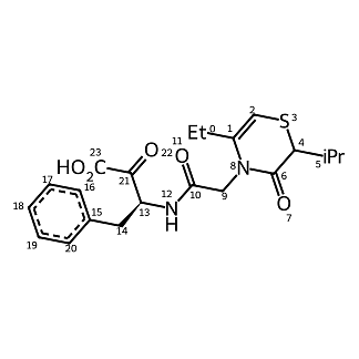 CCC1=CSC(C(C)C)C(=O)N1CC(=O)N[C@@H](Cc1ccccc1)C(=O)C(=O)O